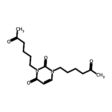 CC(=O)CCCCn1ccc(=O)n(CCCCC(C)=O)c1=O